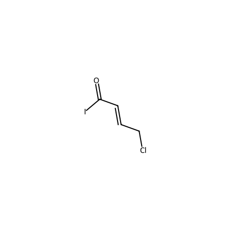 O=C(I)/C=C/CCl